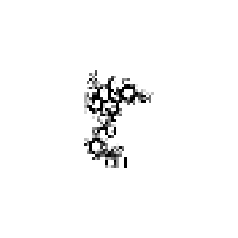 CCn1c(-c2cccnc2C(C)OC)c(CC(C)(C)OC(=O)C[C@H]2CCCN(C(=O)O)C2)c2cc(Br)ccc21